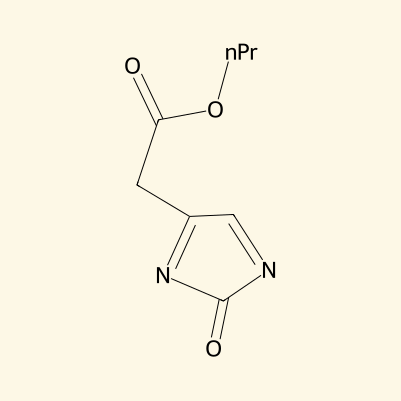 CCCOC(=O)CC1=NC(=O)N=C1